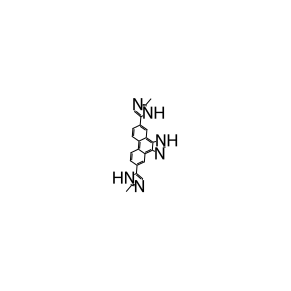 Cc1ncc(-c2ccc3c4ccc(-c5cnc(C)[nH]5)cc4c4[nH]cnc4c3c2)[nH]1